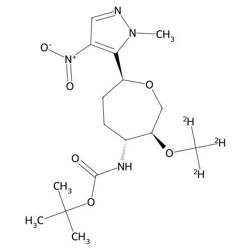 [2H]C([2H])([2H])O[C@@H]1CO[C@H](c2c([N+](=O)[O-])cnn2C)CC[C@H]1NC(=O)OC(C)(C)C